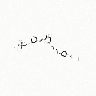 CCOc1ccc(CCCCOc2ccc(C)c(C=Cc3cccc(NC(=O)CC(CC)(CC)C(=O)O)c3)n2)cc1